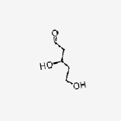 O=CCC(O)CCO